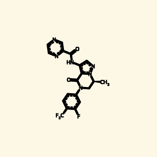 C[C@H]1CN(c2ccc(C(F)(F)F)c(F)c2)C(=O)c2c(NC(=O)c3cnccn3)cnn21